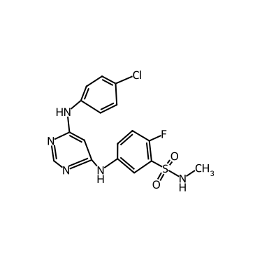 CNS(=O)(=O)c1cc(Nc2cc(Nc3ccc(Cl)cc3)ncn2)ccc1F